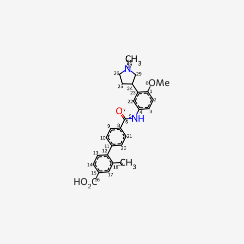 COc1ccc(NC(=O)c2ccc(-c3ccc(C(=O)O)cc3C)cc2)cc1C1CCN(C)C1